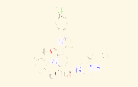 CCc1cccc(CC)c1-n1c(C)c(C(=O)N2CCN[C@@H](C(=O)O)C2)cc(-c2nc(-c3ccc(Cl)cc3)cs2)c1=O